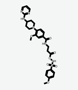 COc1ccc(S(=O)(=O)NOC(=O)CCNC(=O)c2ccc(N3CCC(Nc4ncccn4)CC3)c(OC)c2)cc1